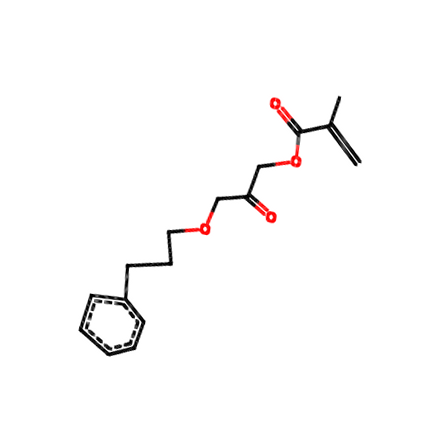 C=C(C)C(=O)OCC(=O)COCCCc1ccccc1